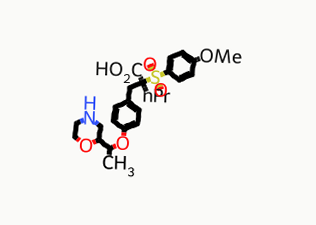 CCCC(Cc1ccc(OC(C)C2CNCCO2)cc1)(C(=O)O)S(=O)(=O)c1ccc(OC)cc1